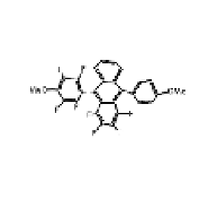 COc1ccc(-c2c3ccccc3c(-c3c(F)c(F)c(OC)c(F)c3F)c3c(F)c(F)c(F)c(F)c23)cc1